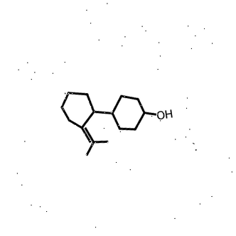 CC(C)=C1CC[CH]CC1C1CCC(O)CC1